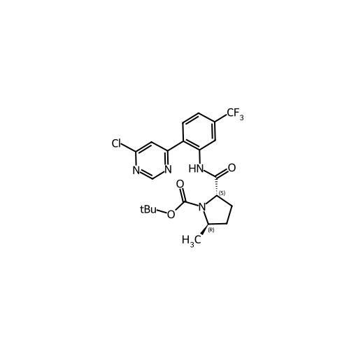 C[C@@H]1CC[C@@H](C(=O)Nc2cc(C(F)(F)F)ccc2-c2cc(Cl)ncn2)N1C(=O)OC(C)(C)C